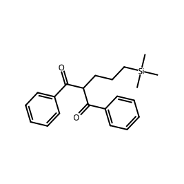 C[Si](C)(C)CCCC(C(=O)c1ccccc1)C(=O)c1ccccc1